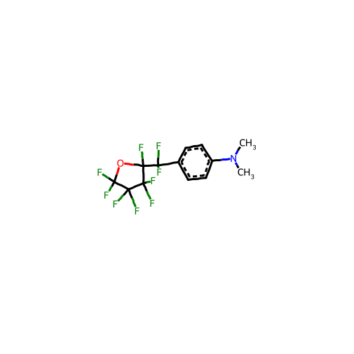 CN(C)c1ccc(C(F)(F)C2(F)OC(F)(F)C(F)(F)C2(F)F)cc1